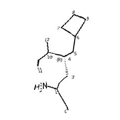 CC(N)C[C@@H](CC1CCC1)C(C)C